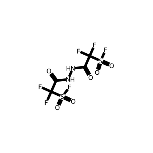 O=C(NNC(=O)C(F)(F)S(=O)(=O)F)C(F)(F)S(=O)(=O)F